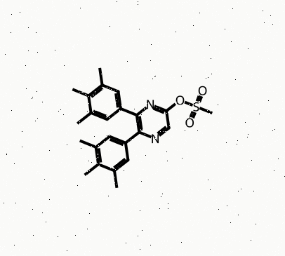 Cc1cc(-c2ncc(OS(C)(=O)=O)nc2-c2cc(C)c(C)c(C)c2)cc(C)c1C